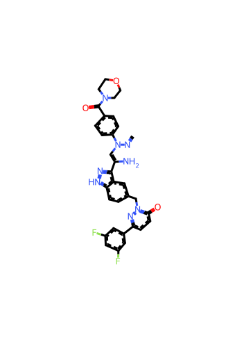 C=NN(/C=C(\N)c1n[nH]c2ccc(Cn3nc(-c4cc(F)cc(F)c4)ccc3=O)cc12)c1ccc(C(=O)N2CCOCC2)cc1